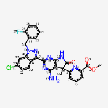 COC(=O)c1cccc(C2(C)C(=O)Nc3nc(-c4nn(Cc5ccccc5F)c5cc(Cl)ccc45)nc(N)c32)n1